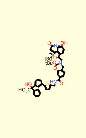 CC(C)(C)OC(=O)N(Cc1ccc(C(=O)NCc2ccc(-c3cccc(C(O)(C(=O)O)c4ccccc4)c3)s2)cc1)CC(O[Si](C)(C)C(C)(C)C)c1ccc(O)c2[nH]c(=O)ccc12